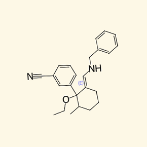 CCOC1(c2cccc(C#N)c2)/C(=C/NCc2ccccc2)CCCC1C